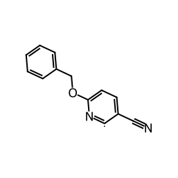 N#Cc1[c]nc(OCc2ccccc2)cc1